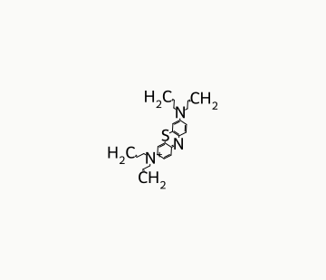 C=CCN(CC=C)c1ccc2nc3ccc(=[N+](CC=C)CC=C)cc-3sc2c1